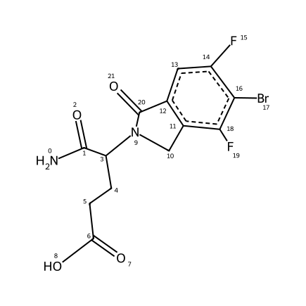 NC(=O)C(CCC(=O)O)N1Cc2c(cc(F)c(Br)c2F)C1=O